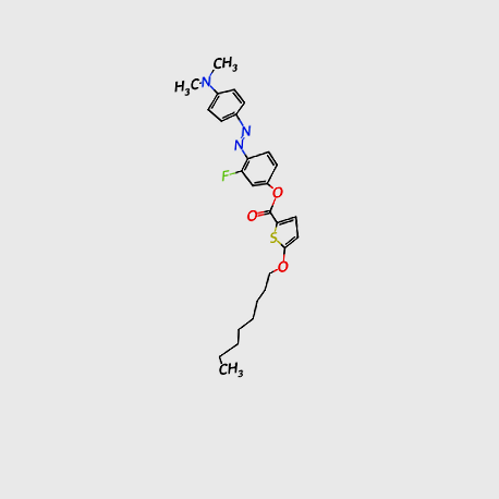 CCCCCCCCOc1ccc(C(=O)Oc2ccc(/N=N/c3ccc(N(C)C)cc3)c(F)c2)s1